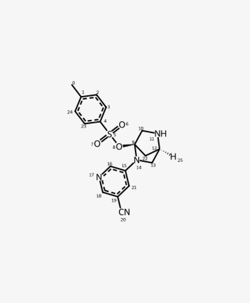 Cc1ccc(S(=O)(=O)O[C@]23CN[C@@H](CN2c2cncc(C#N)c2)C3)cc1